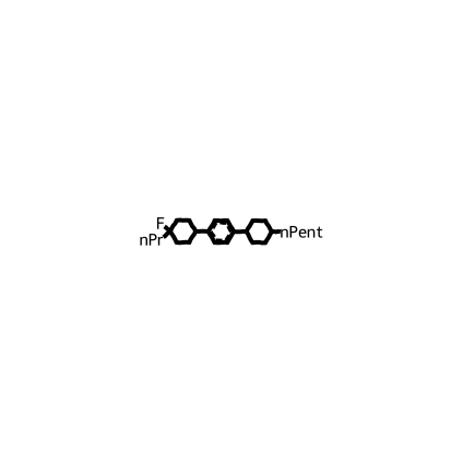 CCCCCC1CCC(c2ccc(C3CCC(F)(CCC)CC3)cc2)CC1